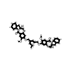 COc1cc2c(cc1OCc1cc(C)cc(COc3cc4c(cc3OC)C(=O)N3c5ccccc5C[C@H]3C=N4)c1)N=C[C@@H]1Cc3ccccc3N1C2=O